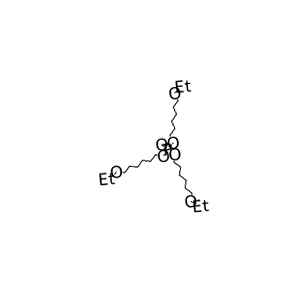 CCOCCCCCCOP(=O)(OCCCCCCOCC)OCCCCCCOCC